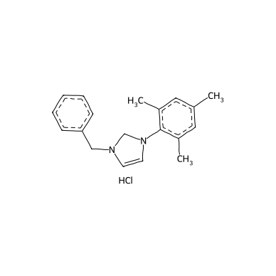 Cc1cc(C)c(N2C=CN(Cc3ccccc3)C2)c(C)c1.Cl